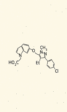 CCc1c(-c2ccc(Cl)cc2)nn(C)c1COc1ccc2ccn(CC(=O)O)c2c1